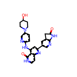 O=C1Cc2cc(-c3cc(Nc4ccc(N5CCC(O)CC5)cn4)c4c(=O)[nH]ccc4n3)cnc2N1